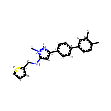 Cc1ccc(-c2ccc(-c3cc(NCc4cccs4)n(C)n3)cc2)cc1C